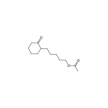 CC(=O)OCCCCCC1CCCCC1=O